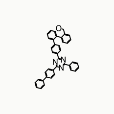 c1ccc(-c2ccc(-c3nc(-c4ccccc4)nc(-c4ccc(-c5cccc6c5-c5ccccc5CO6)cc4)n3)cc2)cc1